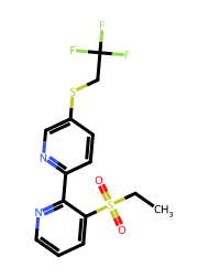 CCS(=O)(=O)c1cccnc1-c1ccc(SCC(F)(F)F)cn1